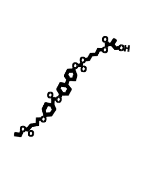 C=COC(=O)CCCOc1ccc(C(=O)Oc2ccc(-c3ccc(OC(=O)OCCCCOC(=O)C(=C)CO)cc3)cc2)cc1